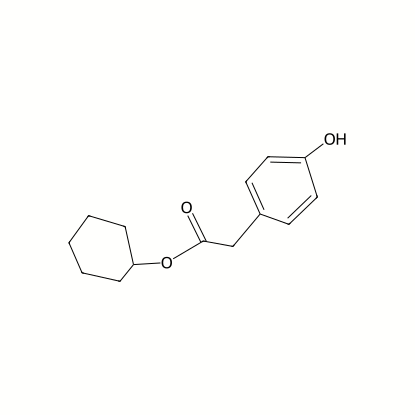 O=C(Cc1ccc(O)cc1)OC1CCCCC1